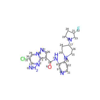 Nc1nc2c(C(=O)Nc3cnccc3N3CCC(N4CCC(F)C4)CC3)cnn2cc1Cl